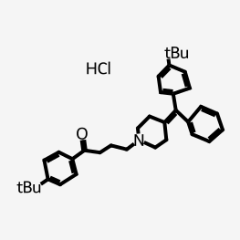 CC(C)(C)c1ccc(C(=O)CCCN2CCC(=C(c3ccccc3)c3ccc(C(C)(C)C)cc3)CC2)cc1.Cl